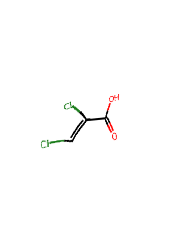 O=C(O)C(Cl)=CCl